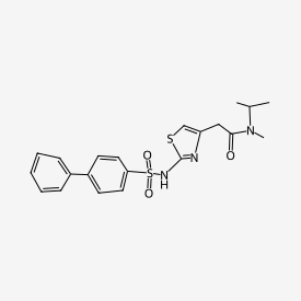 CC(C)N(C)C(=O)Cc1csc(NS(=O)(=O)c2ccc(-c3ccccc3)cc2)n1